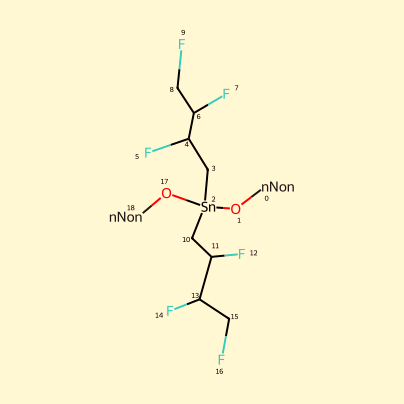 CCCCCCCCC[O][Sn]([CH2]C(F)C(F)CF)([CH2]C(F)C(F)CF)[O]CCCCCCCCC